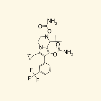 CC(C)(C)C1c2c(OC(N)=O)c(-c3cccc(C(F)(F)F)c3)c(C3CC3)n2CCN1OC(N)=O